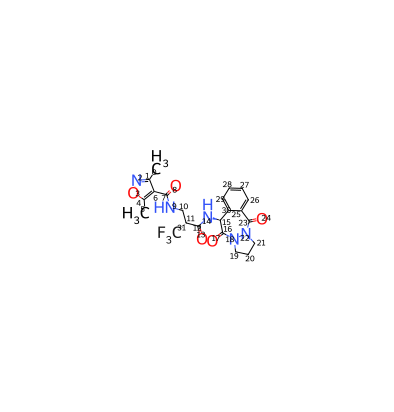 Cc1noc(C)c1C(=O)NC[C@H](C(=O)N[C@@H]1C(=O)N2CCCN2C(=O)c2ccccc21)C(F)(F)F